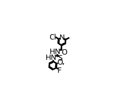 COc1c(F)cccc1NC(=S)NC(=O)c1cc(C)nc(Cl)c1